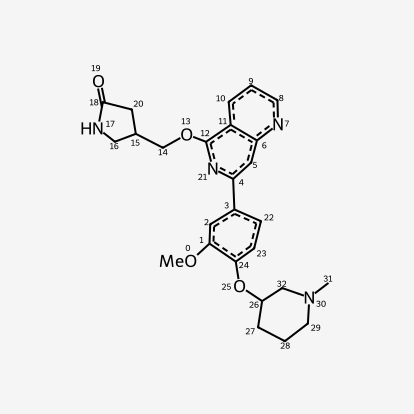 COc1cc(-c2cc3ncccc3c(OCC3CNC(=O)C3)n2)ccc1OC1CCCN(C)C1